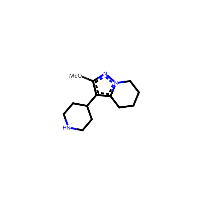 COc1nn2c(c1C1CCNCC1)CCCC2